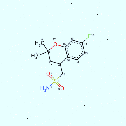 CC1(C)CC(CS(N)(=O)=O)c2ccc(F)cc2O1